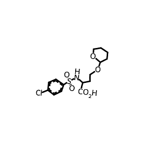 O=C(O)C(CCOC1CCCCO1)NS(=O)(=O)c1ccc(Cl)cc1